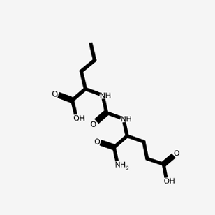 CCCC(NC(=O)NC(CCC(=O)O)C(N)=O)C(=O)O